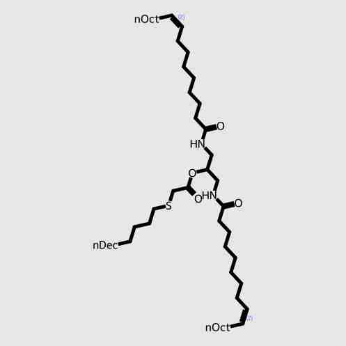 CCCCCCCC/C=C\CCCCCCCC(=O)NCC(CNC(=O)CCCCCCC/C=C\CCCCCCCC)OC(=O)CSCCCCCCCCCCCCCC